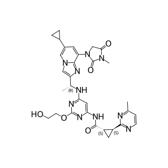 Cc1ccnc([C@H]2C[C@@H]2C(=O)Nc2cc(N[C@H](C)c3cn4cc(C5CC5)cc(N5CC(=O)N(C)C5=O)c4n3)nc(OCCO)n2)n1